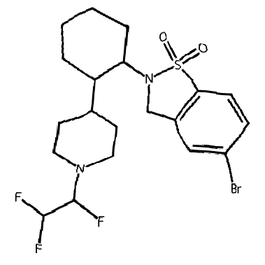 O=S1(=O)c2ccc(Br)cc2CN1C1CCCCC1C1CCN(C(F)C(F)F)CC1